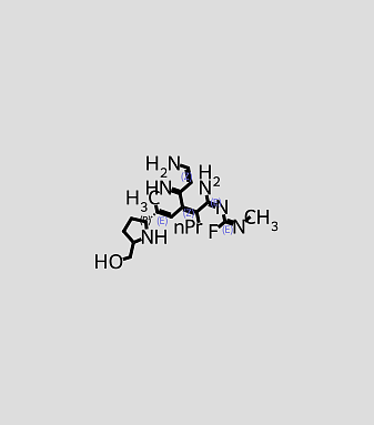 CCCC(=C(\C=C(/C)[C@H]1CCC(CO)N1)C(=N)/C=C\N)/C(N)=N\C(F)=N/C